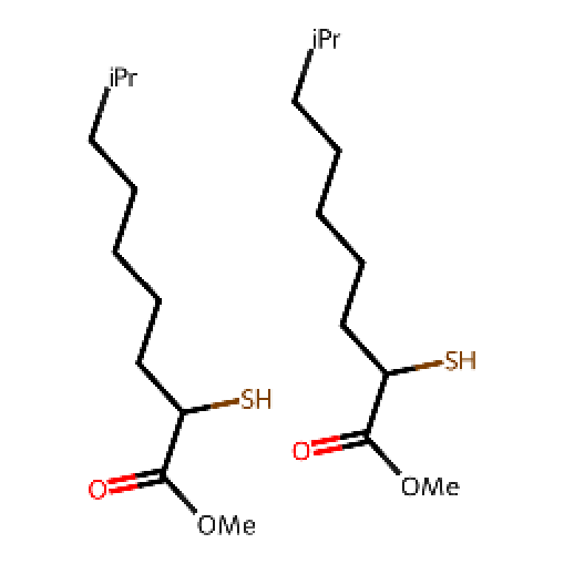 COC(=O)C(S)CCCCCC(C)C.COC(=O)C(S)CCCCCC(C)C